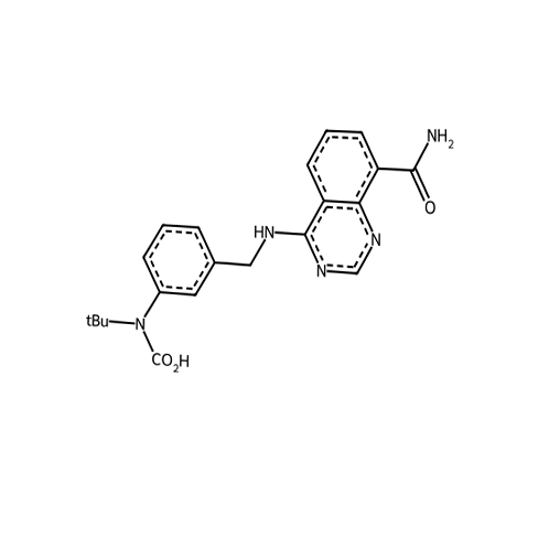 CC(C)(C)N(C(=O)O)c1cccc(CNc2ncnc3c(C(N)=O)cccc23)c1